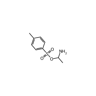 Cc1ccc(S(=O)(=O)OC(C)N)cc1